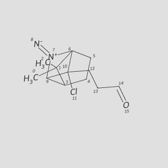 CC1(C)C2CCC13[N+](=[N-])C2C3(Cl)CCC=O